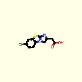 O=C(O)Cc1cn2c(n1)sc1cc(Cl)ccc12